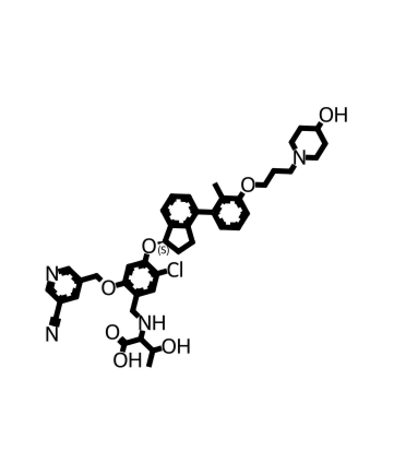 Cc1c(OCCCN2CCC(O)CC2)cccc1-c1cccc2c1CC[C@@H]2Oc1cc(OCc2cncc(C#N)c2)c(CNC(C(=O)O)C(C)O)cc1Cl